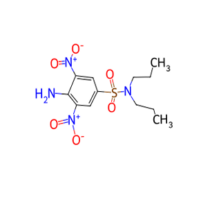 CCCN(CCC)S(=O)(=O)c1cc([N+](=O)[O-])c(N)c([N+](=O)[O-])c1